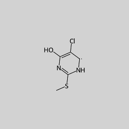 CSC1=NC(O)=C(Cl)[CH]N1